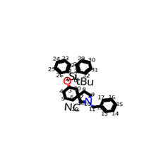 CC(C)(C)[Si](OC1CCCC2(CCN(Cc3ccccc3)C2C#N)C1)(c1ccccc1)c1ccccc1